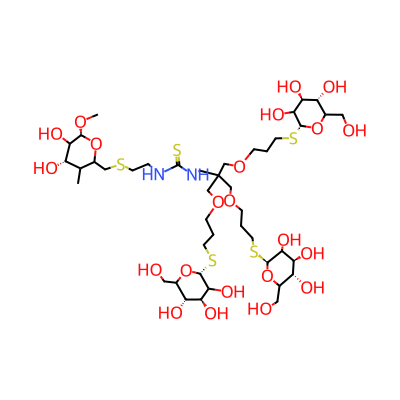 CO[C@H]1OC(CSCCNC(=S)NCC(COCCCS[C@H]2OC(CO)[C@@H](O)[C@H](O)C2O)(COCCCS[C@H]2OC(CO)[C@@H](O)[C@H](O)C2O)COCCCS[C@@H]2OC(CO)[C@@H](O)[C@H](O)C2O)C(C)[C@H](O)C1O